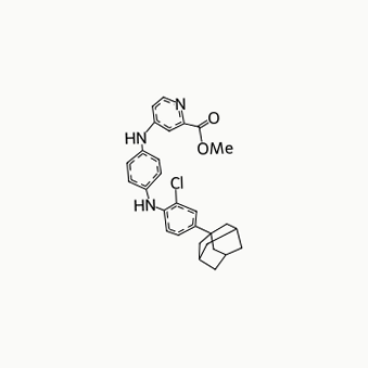 COC(=O)c1cc(Nc2ccc(Nc3ccc(C45CC6CC(CC(C6)C4)C5)cc3Cl)cc2)ccn1